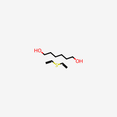 C=CSC=C.OCCCCCCO